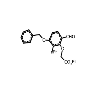 CCCc1c(OCc2ccccc2)ccc(C=O)c1OCC(=O)OCC